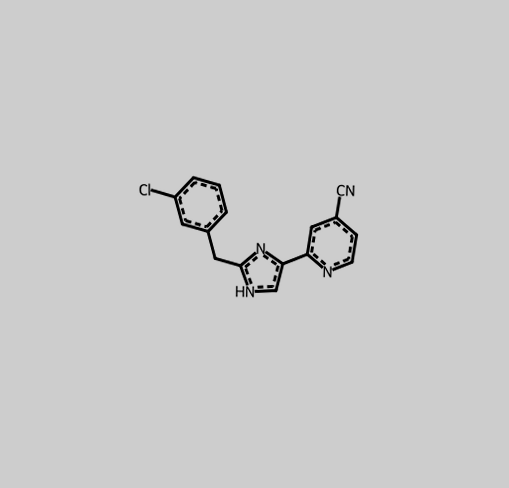 N#Cc1ccnc(-c2c[nH]c(Cc3cccc(Cl)c3)n2)c1